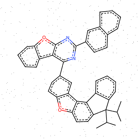 CC(C)C1(C(C)C)c2ccccc2-c2c1ccc1oc3ccc(-c4nc(-c5ccc6ccccc6c5)nc5oc6ccccc6c45)cc3c21